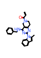 C=CC(=O)N1CCc2nc(-n3c(C)cc4ccccc43)nc(NCc3ccccc3)c2C1